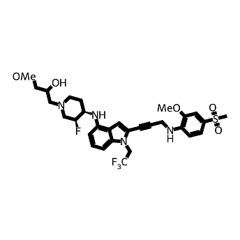 COCC(O)CN1CC[C@@H](Nc2cccc3c2cc(C#CCNc2ccc(S(C)(=O)=O)cc2OC)n3CC(F)(F)F)[C@@H](F)C1